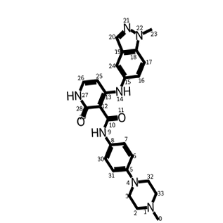 CN1CCN(c2ccc(NC(=O)c3c(Nc4ccc5c(cnn5C)c4)cc[nH]c3=O)cc2)CC1